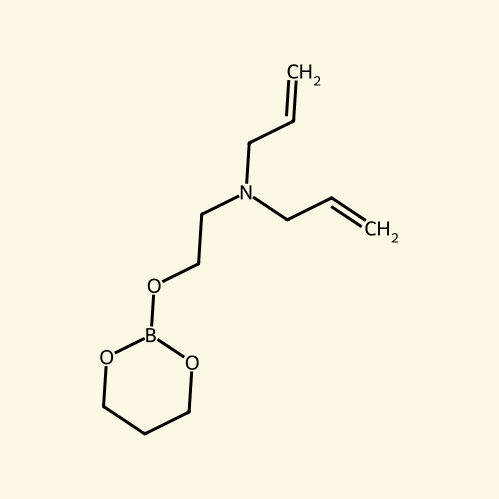 C=CCN(CC=C)CCOB1OCCCO1